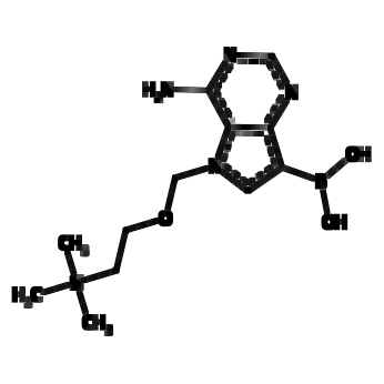 C[Si](C)(C)CCOCn1cc(B(O)O)c2ncnc(N)c21